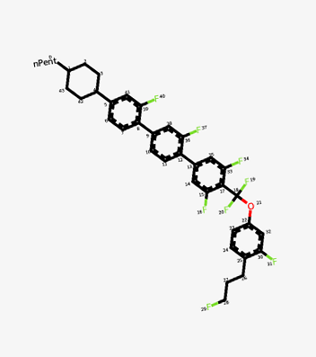 CCCCCC1CCC(c2ccc(-c3ccc(-c4cc(F)c(C(F)(F)Oc5ccc(CCCF)c(F)c5)c(F)c4)c(F)c3)c(F)c2)CC1